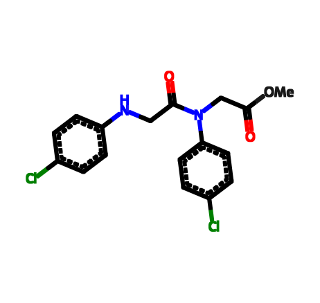 COC(=O)CN(C(=O)CNc1ccc(Cl)cc1)c1ccc(Cl)cc1